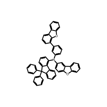 c1ccc(C2(c3ccccc3)c3ccccc3-c3c(N(c4cccc(-c5cccc6c5oc5ccccc56)c4)c4ccc5oc6ccccc6c5c4)cccc32)cc1